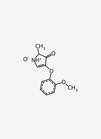 COc1ccccc1OC1=C[NH+]([O-])C(C)C1=O